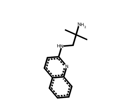 CC(C)(N)CNc1ccc2ccccc2n1